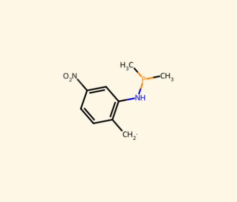 [CH2]c1ccc([N+](=O)[O-])cc1NP(C)C